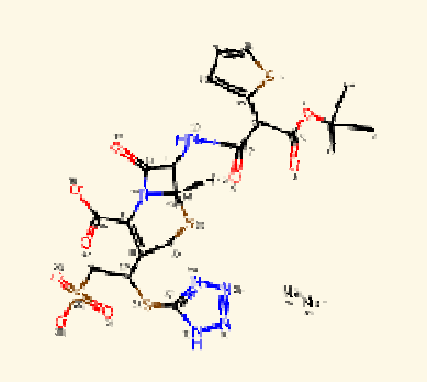 CC(C)(C)OC(=O)C(C(=O)NC1C(=O)N2C(C(=O)[O-])=C(C(CS(=O)(=O)[O-])Sc3nnn[nH]3)CS[C@@H]12)c1cccs1.[Na+].[Na+]